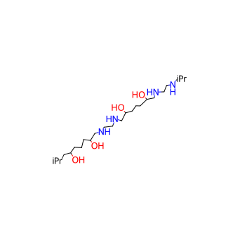 CC(C)CC(O)CCCC(O)CNCCNCC(O)CCCC(O)CNCCNC(C)C